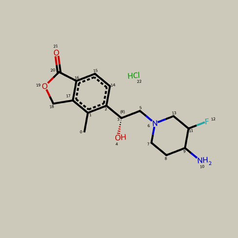 Cc1c([C@@H](O)CN2CCC(N)C(F)C2)ccc2c1COC2=O.Cl